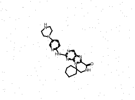 O=C1NCC2(CCCCC2)n2c1nc1cnc(Nc3ccc(N4CCNCC4)cn3)nc12